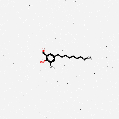 CCCCCCCCCc1cc(C)c(O)c(C=O)c1